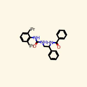 CC(C)c1cccc(C(C)C)c1NC(=O)NCC(NC(=O)c1ccccc1)c1ccccc1